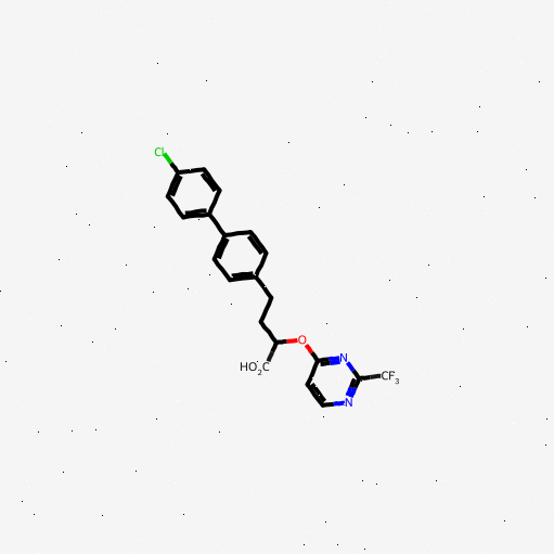 O=C(O)C(CCc1ccc(-c2ccc(Cl)cc2)cc1)Oc1ccnc(C(F)(F)F)n1